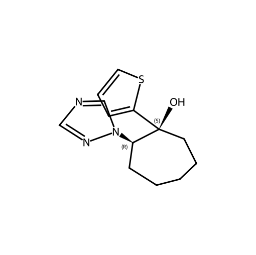 O[C@@]1(c2cccs2)CCCCC[C@H]1n1cncn1